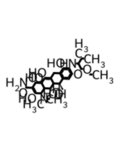 CCOC(=O)C(Nc1ccc2c(c1O)CC1=C(O)[C@@]3(O)C(=O)C(C(N)=O)=C(O)[C@@H](N(C)C)[C@H]3[C@H](O)[C@H]1[C@@H]2C=O)C(C)C